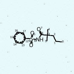 CCCC(C)(C)C(=O)NS(=O)(=O)c1ccccc1